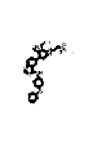 CCc1c(NCCS(C)(=O)=O)ccc(-c2ccc3ncnc(Nc4ccc(Oc5ccccc5)cc4)c3c2)c1CC